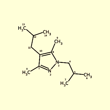 Cc1nn(CC(C)C)c(C)c1CC(C)C